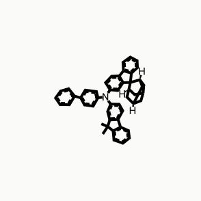 CC1(C)c2ccccc2-c2ccc(N(c3ccc(-c4ccccc4)cc3)c3ccc4c(c3)C3(c5ccccc5-4)[C@H]4CC5C[C@H](C4)C[C@H]3C5)cc21